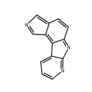 C1=NC=c2ccc3c(c21)-c1cccnc1N=3